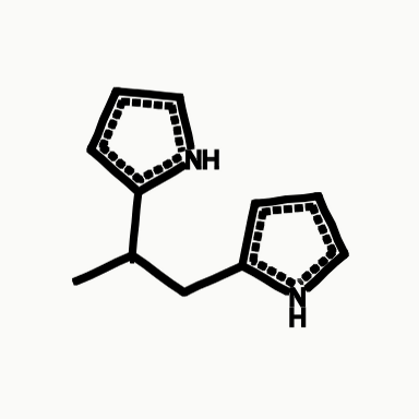 C[C](Cc1ccc[nH]1)c1ccc[nH]1